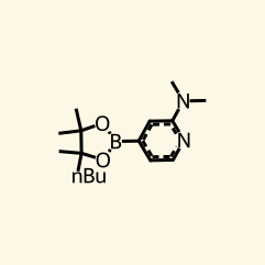 CCCCC1(C)OB(c2ccnc(N(C)C)c2)OC1(C)C